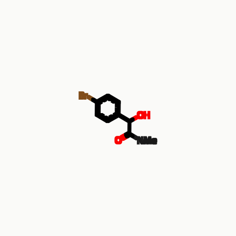 CNC(=O)C(O)c1ccc(Br)cc1